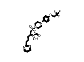 O=CN(O)C(CCCc1ncccn1)CS(=O)(=O)N1CCN(c2ccc(OCC(F)(F)F)cc2)CC1